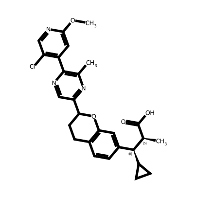 COc1cc(-c2ncc(C3CCc4ccc([C@H](C5CC5)[C@H](C)C(=O)O)cc4O3)nc2C)c(Cl)cn1